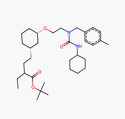 CCC(CC[C@@H]1CCC[C@H](OCCN(Cc2ccc(C)cc2)C(=O)NC2CCCCC2)C1)C(=O)OC(C)(C)C